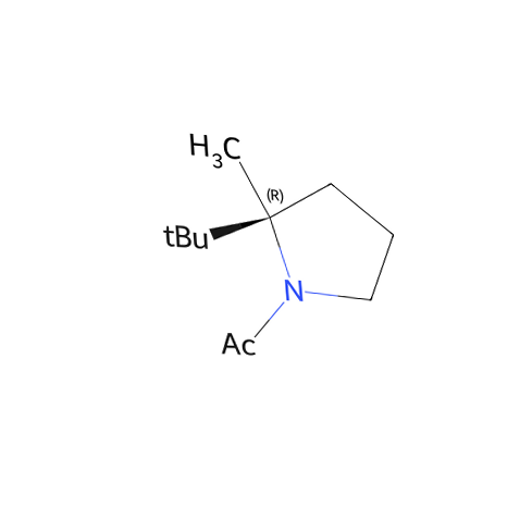 CC(=O)N1CCC[C@]1(C)C(C)(C)C